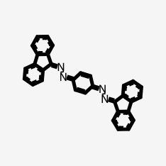 C1=CC(=NN=C2c3ccccc3-c3ccccc32)C=CC1=NN=C1c2ccccc2-c2ccccc21